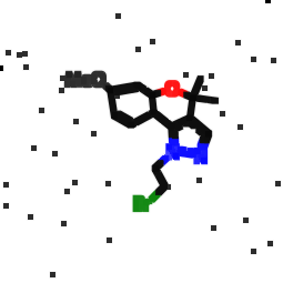 COC1=CC2OC(C)(C)c3cnn(CCBr)c3C2C=C1